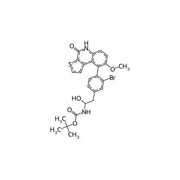 COc1ccc2[nH]c(=O)c3sccc3c2c1-c1ccc(CC(O)NC(=O)OC(C)(C)C)cc1Br